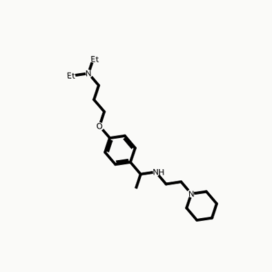 CCN(CC)CCCOc1ccc(C(C)NCCN2CCCCC2)cc1